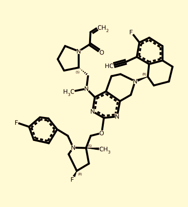 C#Cc1c(F)ccc2c1[C@H](N1CCc3c(nc(OC[C@]4(C)C[C@@H](F)CN4Cc4ccc(F)cc4)nc3N(C)C[C@@H]3CCCN3C(=O)C=C)C1)CCC2